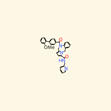 COc1ccccc1-c1ccc(C(=O)N2Cc3ccc(C(=O)NCc4ccccn4)n3Cc3ccccc32)cc1